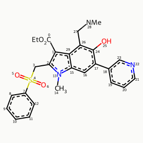 CCOC(=O)c1c(CS(=O)(=O)c2ccccc2)n(C)c2cc(-c3cccnc3)c(O)c(CNC)c12